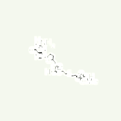 COP(=O)(O)OCCSCCOP(=O)(O)OCC1CC[C@H](n2cnc3c(=O)[nH]c(N)nc32)O1